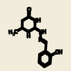 CC1CC(=O)NC(N/N=C/c2ccccc2O)N1